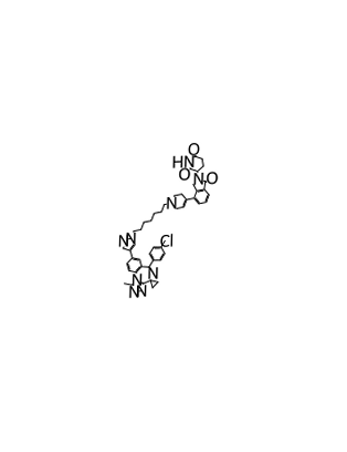 Cc1nnc2n1-c1ccc(-c3cnn(CCCCCCCN4CC=C(c5cccc6c5CN(C5CCC(=O)NC5=O)C6=O)CC4)c3)cc1C(c1ccc(Cl)cc1)=NC21CC1